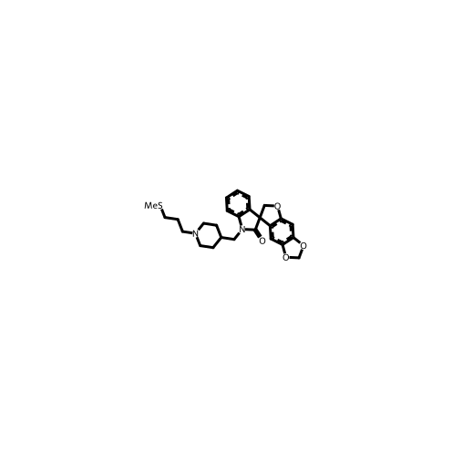 CSCCCN1CCC(CN2C(=O)C3(COc4cc5c(cc43)OCO5)c3ccccc32)CC1